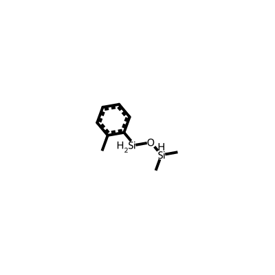 Cc1ccccc1[SiH2]O[SiH](C)C